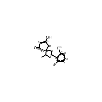 CC(C)C1(CCc2c(F)cccc2F)CC(O)=CC(=O)O1